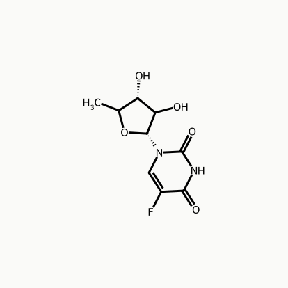 CC1O[C@@H](n2cc(F)c(=O)[nH]c2=O)C(O)[C@H]1O